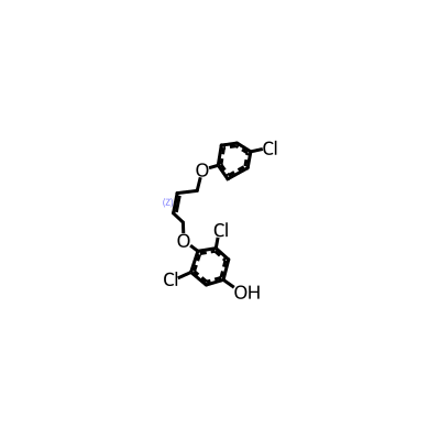 Oc1cc(Cl)c(OC/C=C\COc2ccc(Cl)cc2)c(Cl)c1